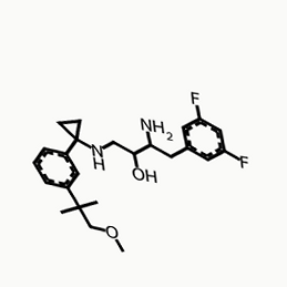 COCC(C)(C)c1cccc(C2(NCC(O)C(N)Cc3cc(F)cc(F)c3)CC2)c1